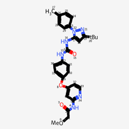 COCC(=O)Nc1cc(Oc2ccc(NC(=O)Nc3cc(C(C)(C)C)nn3-c3ccc(C)cc3)cc2)ccn1